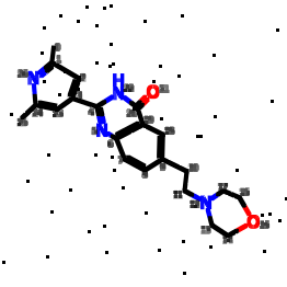 Cc1cc(-c2nc3ccc(CCN4CCOCC4)cc3c(=O)[nH]2)cc(C)n1